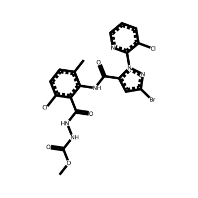 COC(=O)NNC(=O)c1c(Cl)ccc(C)c1NC(=O)c1cc(Br)nn1-c1ncccc1Cl